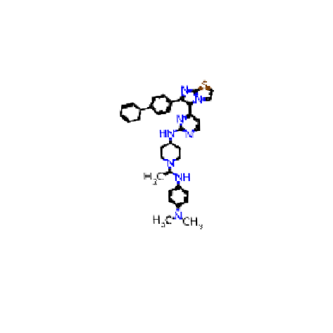 C=C(Nc1ccc(N(C)C)cc1)N1CCC(Nc2nccc(-c3c(-c4ccc(C5C=CC=CC5)cc4)nc4sccn34)n2)CC1